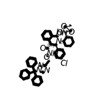 CS(=O)(=O)N[C@H]1CCCC[C@@H]1N1C(=O)c2ccccc2[C@@H](C(=O)NOCc2ncn(C(c3ccccc3)(c3ccccc3)c3ccccc3)n2)[C@@H]1c1ccc(Cl)cc1